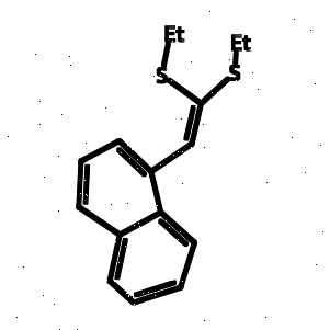 CCSC(=Cc1cccc2ccccc12)SCC